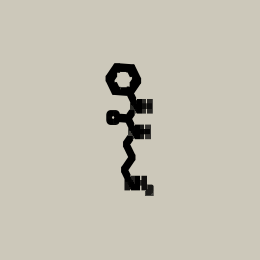 NCCCNC(=O)Nc1ccccc1